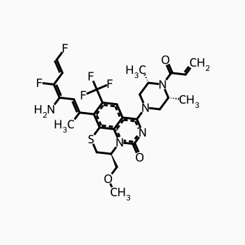 C=CC(=O)N1[C@H](C)CN(c2nc(=O)n3c4c(c(/C(C)=C/C(N)=C(F)\C=C\F)c(C(F)(F)F)cc24)SC[C@@H]3COC)C[C@@H]1C